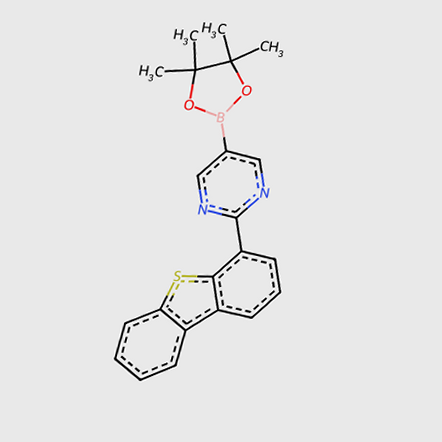 CC1(C)OB(c2cnc(-c3cccc4c3sc3ccccc34)nc2)OC1(C)C